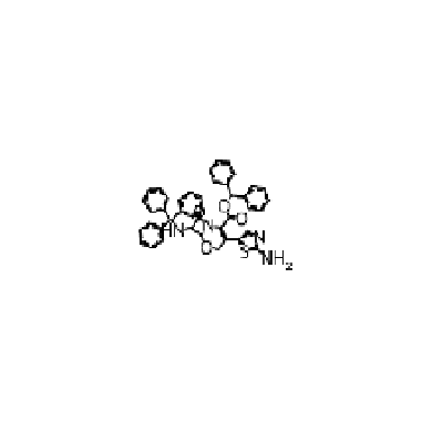 Nc1ncc(C2=C(C(=O)OC(c3ccccc3)c3ccccc3)N3C(=O)C(NC(c4ccccc4)(c4ccccc4)c4ccccc4)C3OC2)s1